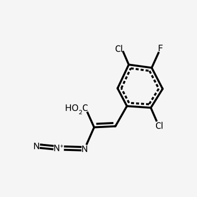 [N-]=[N+]=N/C(=C/c1cc(Cl)c(F)cc1Cl)C(=O)O